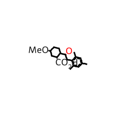 COC1CCC(C(=O)Cc2c(C)cc(C)cc2C)C(C(=O)O)C1